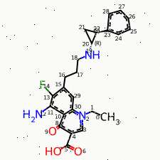 CCn1cc(C(=O)O)c(=O)c2c(N)c(F)c(CCCN[C@@H]3C[C@H]3c3ccccc3)cc21